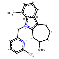 CCCCCCC1CCCc2c(n(Cc3cccc(C(F)(F)F)n3)c3c(C(=O)O)cccc23)C1